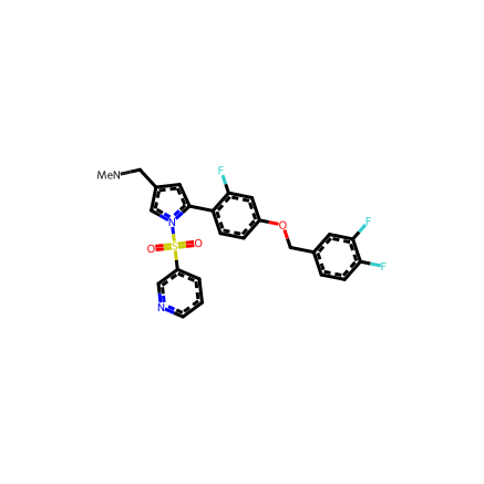 CNCc1cc(-c2ccc(OCc3ccc(F)c(F)c3)cc2F)n(S(=O)(=O)c2cccnc2)c1